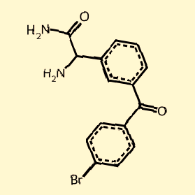 NC(=O)C(N)c1cccc(C(=O)c2ccc(Br)cc2)c1